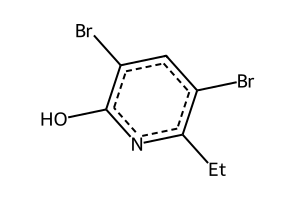 CCc1nc(O)c(Br)cc1Br